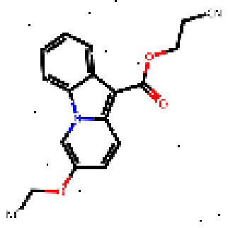 N#CCCOC(=O)c1c2ccccc2n2cc(OCC#N)ccc12